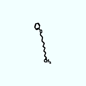 C=CCCCCCCCCCOc1ccccc1